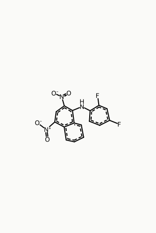 O=[N+]([O-])c1cc([N+](=O)[O-])c2ccccc2c1Nc1ccc(F)cc1F